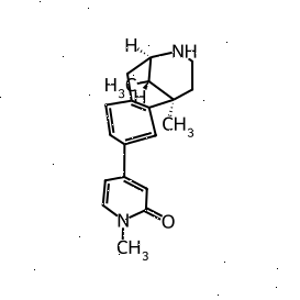 C[C@@H]1[C@H]2Cc3ccc(-c4ccn(C)c(=O)c4)cc3[C@]1(C)CCN2